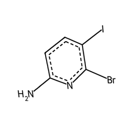 Nc1ccc(I)c(Br)n1